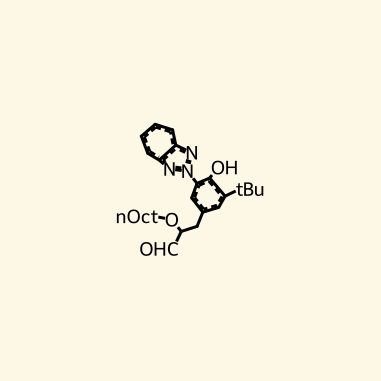 CCCCCCCCOC(C=O)Cc1cc(-n2nc3ccccc3n2)c(O)c(C(C)(C)C)c1